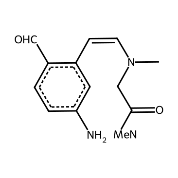 CNC(=O)CN(C)/C=C\c1cc(N)ccc1C=O